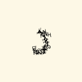 O=C(N1CC2(CC(c3nc(C4CC4)n[nH]3)C2)C1)N1CC2(CN(Cc3cnn(CC(F)(F)F)n3)C2)C1